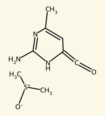 CC1=CC(=C=O)NC(N)=N1.C[S+](C)[O-]